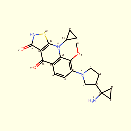 COc1c(N2CCC(C3(N)CC3)C2)ccc2c(=O)c3c(=O)[nH]sc3n(C3CC3)c12